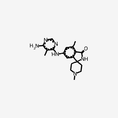 Cc1cc(Nc2ncnc(N)c2C)cc2c1C(=O)NC21CCN(C)CC1